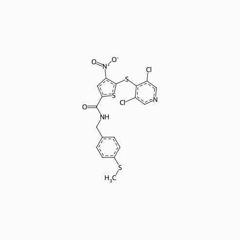 CSc1ccc(CNC(=O)c2cc([N+](=O)[O-])c(Sc3c(Cl)cncc3Cl)s2)cc1